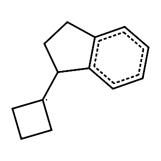 c1ccc2c(c1)CCC2[C]1CCC1